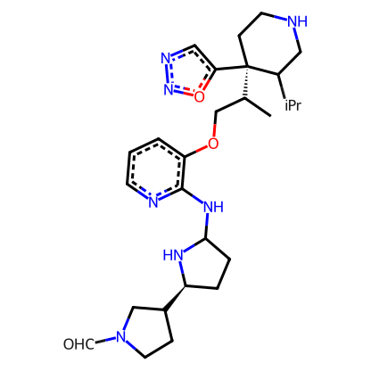 CC(C)C1CNCC[C@@]1(c1cnno1)C(C)COc1cccnc1NC1CC[C@@H](C2CCN(C=O)C2)N1